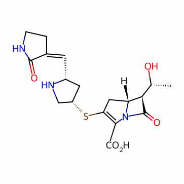 C[C@@H](O)[C@H]1C(=O)N2C(C(=O)O)=C(S[C@@H]3CN[C@H](/C=C4/CCNC4=O)C3)C[C@H]12